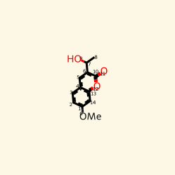 COc1ccc2cc(C(C)O)c(=O)oc2c1